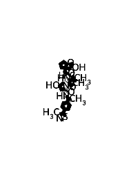 Cc1ncsc1-c1ccc([C@H](C)NC(=O)[C@@H]2C[C@@H](O)CN2C(=O)[C@@H](NC(=O)CC2(CC(=O)O)CCCC2)C(C)(C)C)cc1